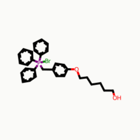 OCCCCCCOc1ccc(CP(Br)(c2ccccc2)(c2ccccc2)c2ccccc2)cc1